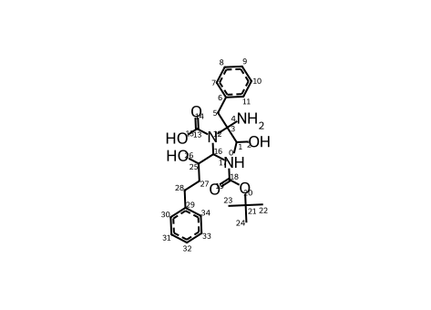 CC(O)C(N)(Cc1ccccc1)N(C(=O)O)C(NC(=O)OC(C)(C)C)C(O)CCc1ccccc1